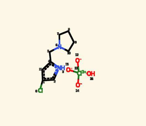 Clc1c[nH]c(CN2CCCC2)c1.[O-][Cl+3]([O-])([O-])O